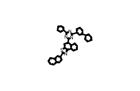 c1ccc(-c2cccc(-c3nc(-c4ccccc4)nc(-c4cc5sc(-c6ccc7ccccc7c6)nc5c5ccccc45)n3)c2)cc1